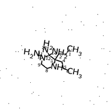 CCCC1(CCC)NCCN(N)C1(N)N